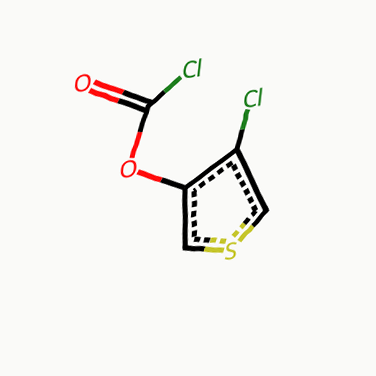 O=C(Cl)Oc1cscc1Cl